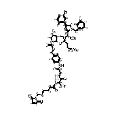 CSCCC(=O)N(C[C@@H]1CN(C(=O)OCc2ccc(NC(=O)CNC(=O)C(NC(=O)CCCCCN3C(=O)C=CC3=O)C(C)C)cc2)C[C@@H]1F)[C@@H](c1nc(-c2cc(F)ccc2F)cn1Cc1cccc(F)c1)C(C)(C)C